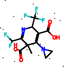 CC1(C(=O)O)C(C(F)F)=NC(C(F)(F)F)C(C(=O)O)=C1N1CC1